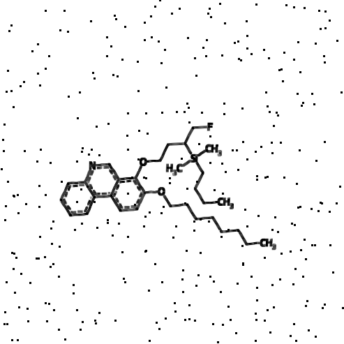 CCCCCCCCOc1ccc2c(cnc3ccccc32)c1OCCC(CF)[Si](C)(C)CCCC